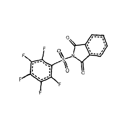 O=C1c2ccccc2C(=O)N1S(=O)(=O)c1c(F)c(F)c(F)c(F)c1F